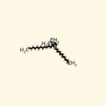 CCCCCCCCCCCCCC1N(CCCCCCCCCCCC)C=CN1C(C)C